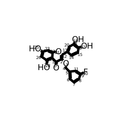 O=c1c(OCc2cccc(F)c2)c(-c2ccc(O)c(O)c2)oc2cc(O)cc(O)c12